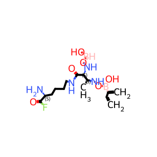 C=CC(=C)B(O)ON[C@@H](C)[C@H](NOBO)C(=O)NCCCC[C@H](N)C(=O)F